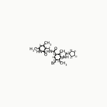 Cc1cc(C)c(CNC(=O)c2cc(Br)c(C)c(NCC3CCCC3)c2C)c(=O)[nH]1